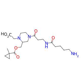 CC1(C(=O)OCC2CN(C(=O)CCNC(=O)CCCCN)CCN2CC(=O)O)CC1